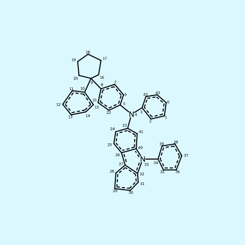 c1ccc(N(c2ccc(C3(c4ccccc4)CCCCC3)cc2)c2ccc3c4ccccc4n(-c4ccccc4)c3c2)cc1